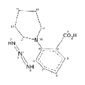 N=[N+]=N.O=C(O)c1ccccc1N1CCCCC1